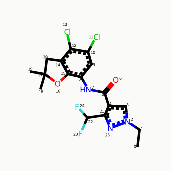 CCn1cc(C(=O)Nc2cc(Cl)c(Cl)c3c2OC(C)(C)C3)c(C(F)F)n1